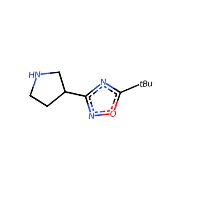 CC(C)(C)c1nc(C2CCNC2)no1